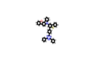 c1ccc(-c2nc(-c3ccccc3)nc(-c3ccc(-c4cc(-n5c6ccccc6c6c7oc8ccccc8c7ccc65)cc5c4sc4ccccc45)cc3)n2)cc1